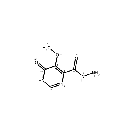 COc1c(C(=O)NN)nc[nH]c1=O